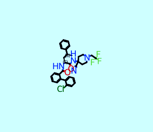 C[C@@H](C[C@H](NC(=O)c1ccccc1-c1ccccc1Cl)C(=O)NC1(C#N)CCN(CC(F)(F)F)CC1)c1ccccc1